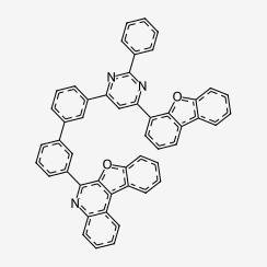 c1ccc(-c2nc(-c3cccc(-c4cccc(-c5nc6ccccc6c6c5oc5ccccc56)c4)c3)cc(-c3cccc4c3oc3ccccc34)n2)cc1